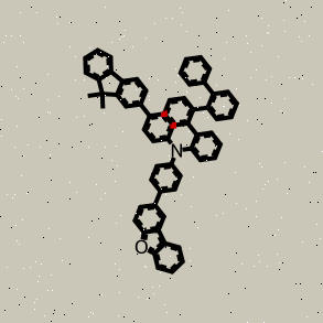 CC1(C)c2ccccc2-c2ccc(-c3ccc(N(c4ccc(-c5ccc6oc7ccccc7c6c5)cc4)c4ccccc4-c4ccccc4-c4ccccc4-c4ccccc4)cc3)cc21